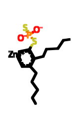 CCCCCc1cccc(SP([O-])([O-])=S)c1CCCCC.[Zn+2]